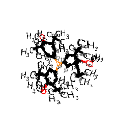 COc1c(C(C)(C)C)cc(P(c2cc(C(C)(C)C)c(OC)c(C(C)(C)C)c2)c2cc(C(C)(C)C)c(OC)c(C(C)(C)C)c2)cc1C(C)(C)C